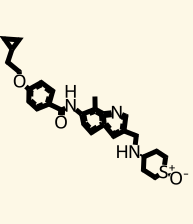 Cc1c(NC(=O)c2ccc(OCCC3CC3)cc2)ccc2cc(CN[C@H]3CC[S@+]([O-])CC3)cnc12